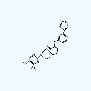 Cc1cnc(N2CCC3(CCCN(Cc4cccc(-c5ncccn5)c4)C3=O)CC2)nc1C